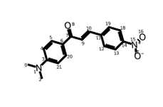 CN(C)c1ccc(C(=O)/C=C/c2ccc([N+](=O)[O-])cc2)cc1